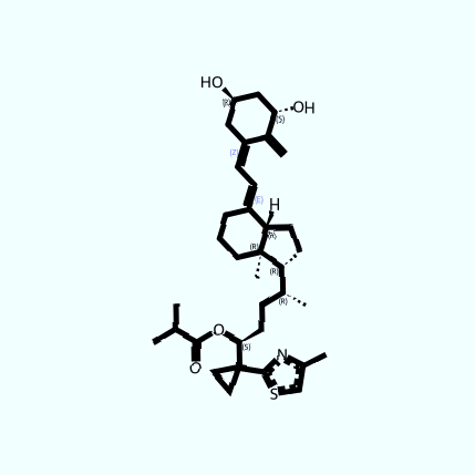 C=C1/C(=C\C=C2/CCC[C@]3(C)[C@@H]([C@H](C)CC[C@H](OC(=O)C(C)C)C4(c5nc(C)cs5)CC4)CC[C@@H]23)C[C@@H](O)C[C@@H]1O